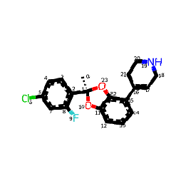 C[C@@]1(c2ccc(Cl)cc2F)Oc2cccc(C3=CCNCC3)c2O1